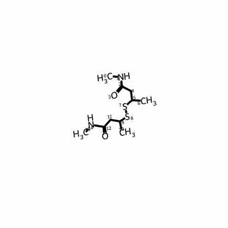 CNC(=O)CC(C)SSC(C)CC(=O)NC